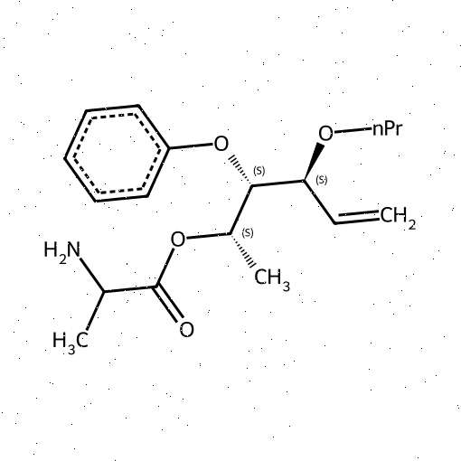 C=C[C@H](OCCC)[C@@H](Oc1ccccc1)[C@H](C)OC(=O)C(C)N